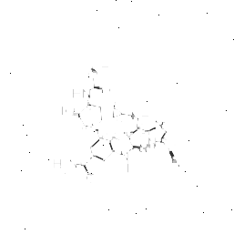 COC(=O)N[C@H]1CCN(c2cc(C(N)=O)cc(Nc3nc(NC4CC4)c4ncc(C#N)n4n3)c2Cl)C[C@@H]1O